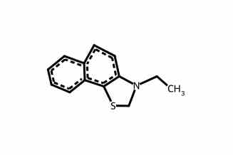 CCN1CSc2c1ccc1ccccc21